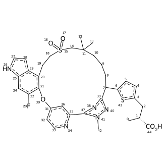 C[C@H](Cc1ccc(C2CCCC(C)(C)CS(=O)(=O)CCc3c(c(F)cc4[nH]ccc34)Oc3ccnc(c3)-c3nc2nn3C)s1)C(=O)O